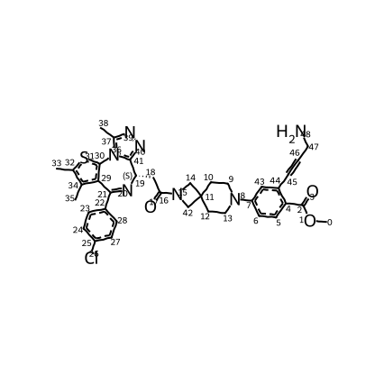 COC(=O)c1ccc(N2CCC3(CC2)CN(C(=O)C[C@@H]2N=C(c4ccc(Cl)cc4)c4c(sc(C)c4C)-n4c(C)nnc42)C3)cc1C#CCN